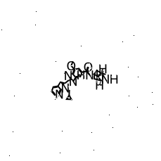 COc1cc(C(=O)NC23C[C@@H]4CN[C@H](C2)[C@@H]43)cc2nc(-c3cc4cccnc4n3CC3CC3)n(C)c12